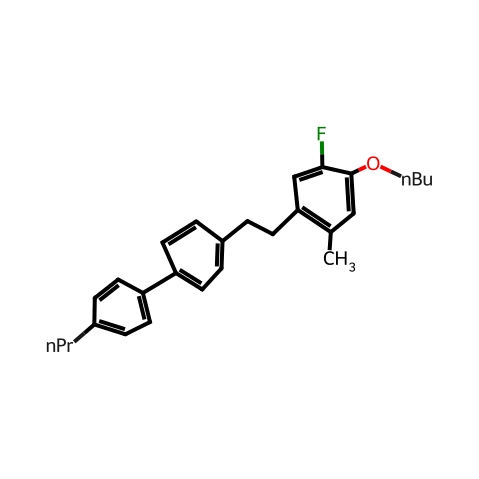 CCCCOc1cc(C)c(CCc2ccc(-c3ccc(CCC)cc3)cc2)cc1F